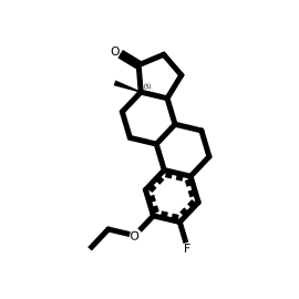 CCOc1cc2c(cc1F)CCC1C2CC[C@]2(C)C(=O)CCC12